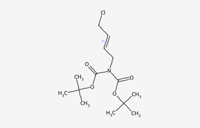 CC(C)(C)OC(=O)N(C/C=C/CCl)C(=O)OC(C)(C)C